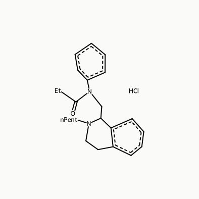 CCCCCN1CCc2ccccc2C1CN(C(=O)CC)c1ccccc1.Cl